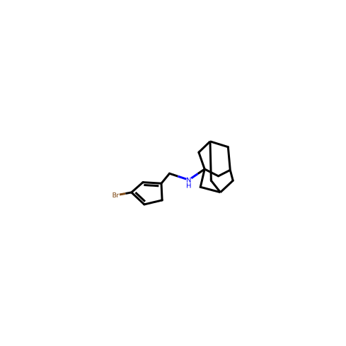 BrC1=CCC(CNC23CC4CC(CC(C4)C2)C3)=C1